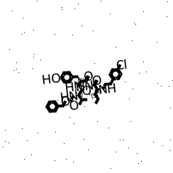 CC[C@H](C)[C@H](NCCc1ccc(Cl)cc1)C(=O)NC(=O)[C@H](Cc1ccc(O)cc1)NC(=O)[C@@H](NC(=O)OCc1ccccc1)C(C)C